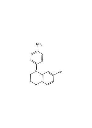 O=[N+]([O-])c1ccc(N2CCCc3ccc(Br)cc32)cc1